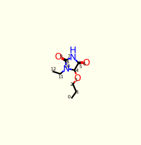 CCCOC1C(=O)NC(=O)N1CC